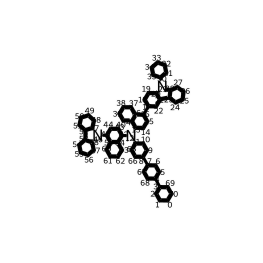 c1ccc(-c2ccc(-c3ccc(N(c4ccc(-c5ccc6c(c5)c5ccccc5n6-c5ccccc5)c5ccccc45)c4ccc(-n5c6ccccc6c6ccccc65)c5ccccc45)cc3)cc2)cc1